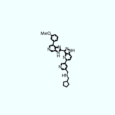 COc1cccc(-c2cncc3[nH]c(-c4n[nH]c5ccc(-c6cncc(CNCC7CCCC7)c6)nc45)nc23)c1